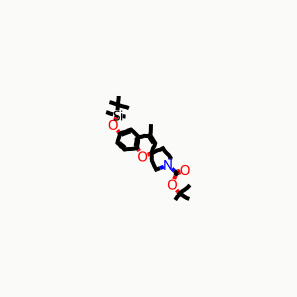 CC1=CC2(CCN(C(=O)OC(C)(C)C)CC2)Oc2ccc(O[Si](C)(C)C(C)(C)C)cc21